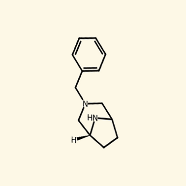 c1ccc(CN2CC3CC[C@H](C2)N3)cc1